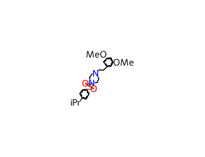 COc1cc(CCN2CCN(S(=O)(=O)c3ccc(C(C)C)cc3)CC2)cc(OC)c1